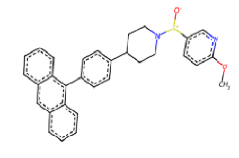 COc1ccc([S+]([O-])N2CCC(c3ccc(-c4c5ccccc5cc5ccccc45)cc3)CC2)cn1